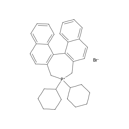 [Br-].c1ccc2c3c(ccc2c1)C[P+](C1CCCCC1)(C1CCCCC1)Cc1ccc2ccccc2c1-3